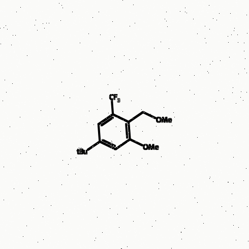 COCc1c(OC)cc(C(C)(C)C)cc1C(F)(F)F